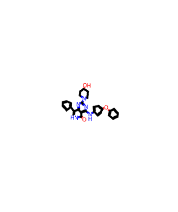 O=c1[nH]cc(-c2ccccc2)c2nc(N3CCC(O)CC3)nc(Nc3ccc(Oc4ccccc4)cc3)c12